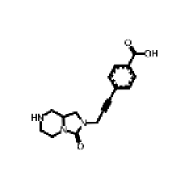 O=C(O)c1ccc(C#CCN2CC3CNCCN3C2=O)cc1